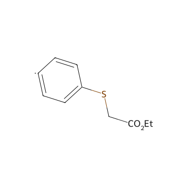 CCOC(=O)CSc1cc[c]cc1